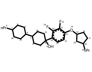 CCCC1CCC(C2CCC(O)(c3ccc(OC4CCC(CCC)C4)c(F)c3F)CC2)CC1